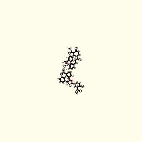 COC(=O)C1CN(C(=O)/C=C/c2ccc(Sc3ccc(/C=C/C(=O)N4CCC(=O)C(C(=O)OC)C4)c(-c4ccccc4C(C)C)c3[N+](=O)[O-])c([N+](=O)[O-])c2-c2ccccc2C(C)C)CCC1=O